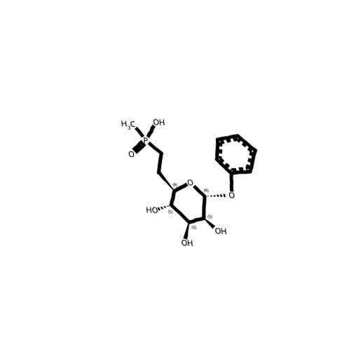 CP(=O)(O)CC[C@H]1O[C@H](Oc2ccccc2)[C@@H](O)[C@@H](O)[C@@H]1O